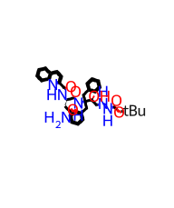 CC(C)(C)OC(=O)NNC[C@H](O)C(Cc1ccccc1)(Cc1ccccc1)NC(=O)[C@H](CC(N)=O)NC(=O)c1ccc2ccccc2n1